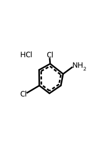 Cl.Nc1ccc(Cl)cc1Cl